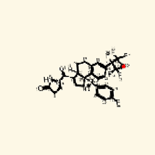 O=C1CCN(C(=O)[C@@H]2CC[C@@]3(S(=O)(=O)c4ccc(F)cc4)c4ccc(C(F)(C(F)(F)F)C(F)(F)F)cc4CC[C@@H]23)N1